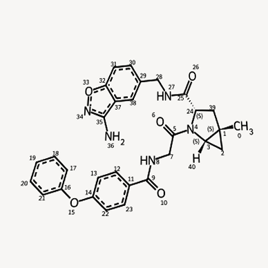 C[C@@]12C[C@@H]1N(C(=O)CNC(=O)c1ccc(Oc3ccccc3)cc1)[C@H](C(=O)NCc1ccc3onc(N)c3c1)C2